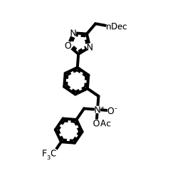 CCCCCCCCCCCc1noc(-c2cccc(C[N+]([O-])(Cc3ccc(C(F)(F)F)cc3)OC(C)=O)c2)n1